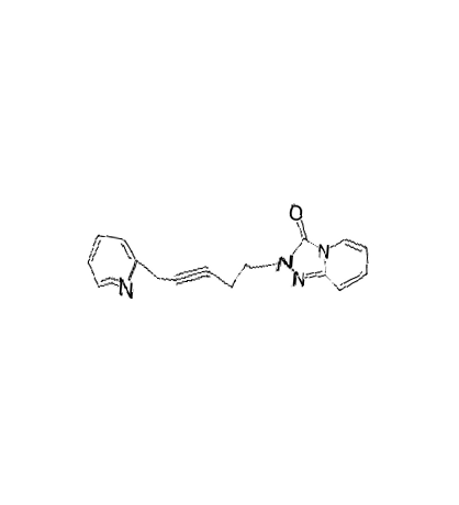 O=c1n(CCC#Cc2ccccn2)nc2ccccn12